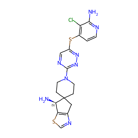 Nc1nccc(Sc2cnc(N3CCC4(CC3)Cc3ncsc3[C@H]4N)nn2)c1Cl